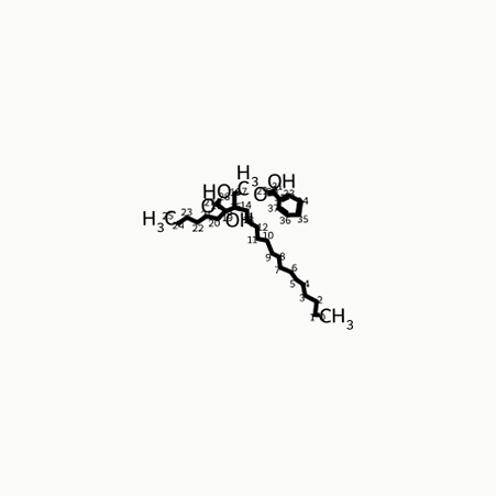 CCCCCCCCCCCCCCCC(CC)C(O)(CCCCCC)C(=O)O.O=C(O)c1ccccc1